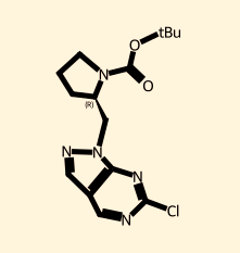 CC(C)(C)OC(=O)N1CCC[C@@H]1Cn1ncc2cnc(Cl)nc21